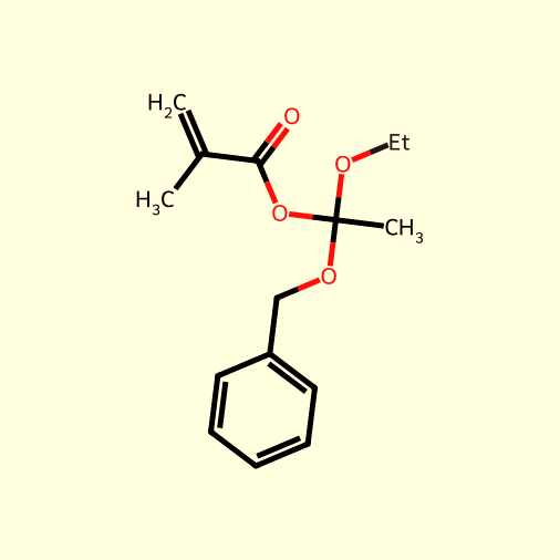 C=C(C)C(=O)OC(C)(OCC)OCc1ccccc1